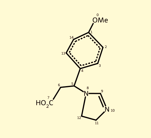 COc1ccc(C(CC(=O)O)N2C=NCC2)cc1